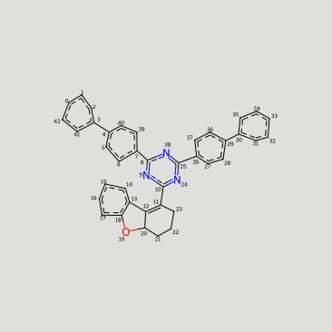 c1ccc(-c2ccc(-c3nc(C4=C5c6ccccc6OC5CCC4)nc(-c4ccc(-c5ccccc5)cc4)n3)cc2)cc1